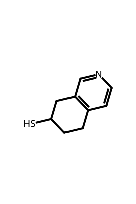 SC1CCc2ccncc2C1